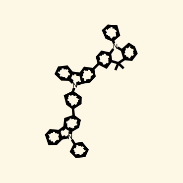 CC1(C)c2ccccc2N(c2ccccc2)c2ccc(-c3ccc4c(c3)c3ccccc3n4-c3ccc(-c4ccc5c(c4)c4ccccc4n5-c4ccccc4)cc3)cc21